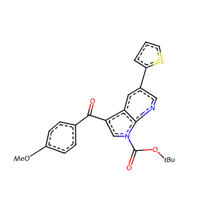 COc1ccc(C(=O)c2cn(C(=O)OC(C)(C)C)c3ncc(-c4cccs4)cc23)cc1